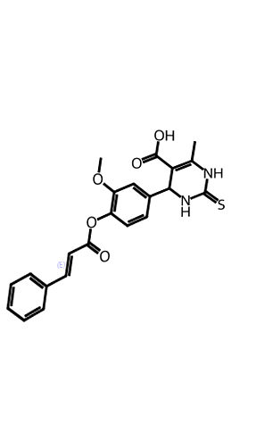 COc1cc(C2NC(=S)NC(C)=C2C(=O)O)ccc1OC(=O)/C=C/c1ccccc1